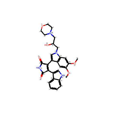 COc1cc2c(C3=C(c4c[nH]c5ccccc45)C(=O)NC3=O)cn(CC(O)CN3CCOCC3)c2cc1OC